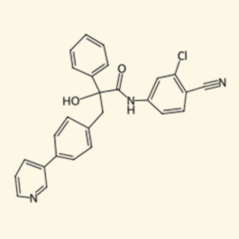 N#Cc1ccc(NC(=O)C(O)(Cc2ccc(-c3cccnc3)cc2)c2ccccc2)cc1Cl